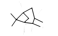 CC1(C)[C@@H]2C[C@H]1[C@H](S)[C@](C)(S)C2